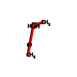 CCCCCCCCCCCCCC=CC=CC(=O)OCCCCCCCCCCCCCCCCCCCCCCCCCCCCCCCC(=O)N[C@@H](CO)[C@H](O)CCCCCCCCCCCCCCCCC